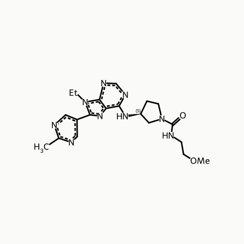 CCn1c(-c2cnc(C)nc2)nc2c(N[C@H]3CCN(C(=O)NCCOC)C3)ncnc21